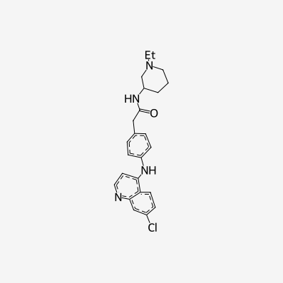 CCN1CCCC(NC(=O)Cc2ccc(Nc3ccnc4cc(Cl)ccc34)cc2)C1